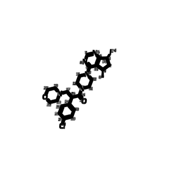 C[C@@H]1C[C@H](F)c2ncnc(N3CCN(C(=O)C(CN4CCOCC4)c4ccc(Cl)cc4)CC3)c21